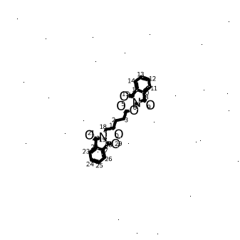 O=C(CCC(=O)ON1C(=O)c2ccccc2C1=O)CN1C(=O)c2ccccc2C1=O